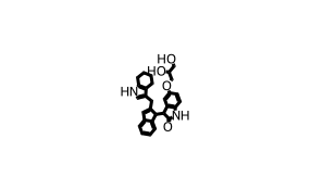 O=C1Nc2ccc(OCC(O)CO)cc2C1C1C(Cc2c[nH]c3c2CCCC3)=Cc2ccccc21